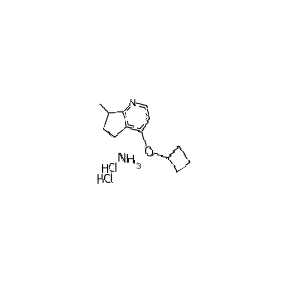 CC1CCc2c(OC3CCC3)ccnc21.Cl.Cl.N